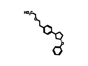 O=C(O)COCCc1ccc(C2CC[C@H](Oc3ccccc3)C2)cc1